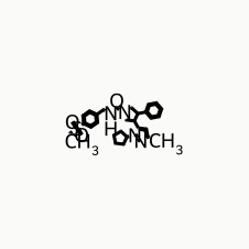 CCS(=O)(=O)c1ccc(CNC(=O)N2CC(c3ccccc3)C(c3cc(C)nn3C3CCCC3)C2)cc1